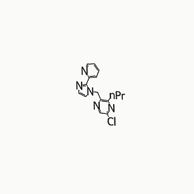 CCCc1nc(Cl)cnc1Cn1ccnc1-c1ccccn1